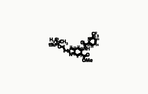 COC(=O)c1cc2nn(CCO[Si](C)(C)C(C)(C)C)cc2cc1NC(=O)c1cccc(C(F)(F)F)n1